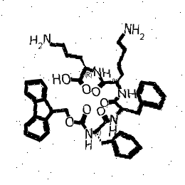 NCCCC[C@@H](NC(=O)[C@@H](CCCCN)NC(=O)C(Cc1ccccc1)NC(=O)[C@H](Cc1ccccc1)NC(=O)OCC1c2ccccc2-c2ccccc21)C(=O)O